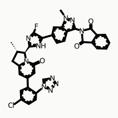 C[C@H]1Cc2cc(-c3cc(Cl)ccc3-n3cnnn3)cc(=O)n2[C@@H]1c1nc(F)c(-c2ccc3c(N4C(=O)c5ccccc5C4=O)nn(C)c3c2)[nH]1